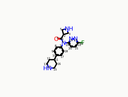 O=C(C1CNC1)N(c1ccc(C2CCNCC2)cc1)c1ccc(F)nn1